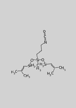 CC(C)=C[SiH2]O[Si](C)(CCCN=C=O)O[SiH2]C=C(C)C